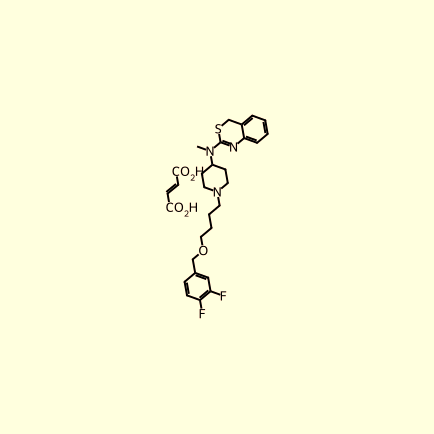 CN(C1=Nc2ccccc2CS1)C1CCN(CCCCOCc2ccc(F)c(F)c2)CC1.O=C(O)C=CC(=O)O